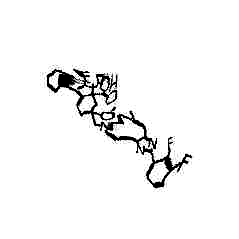 COC1(Cn2cc3nc(-c4cccc(F)c4F)nc-3cn2)CC=C(c2ccccc2)C(C(=O)O)(C(F)(F)F)C1